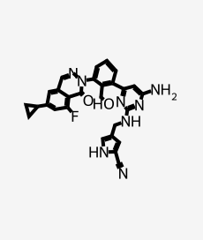 N#Cc1cc(CNc2nc(N)cc(-c3cccc(-n4ncc5cc(C6CC6)cc(F)c5c4=O)c3CO)n2)c[nH]1